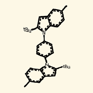 Cc1ccc2c(c1)cc(C(C)(C)C)n2-c1ccc(-n2c(C(C)(C)C)cc3cc(C)ccc32)cc1